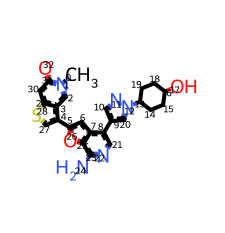 Cn1cc2c(-c3cc4c(-c5cnn(C6CCC(O)CC6)c5)cnc(N)c4o3)csc2cc1=O